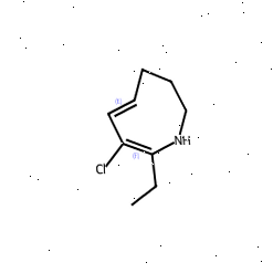 CC/C1=C(Cl)/C=C/CCCN1